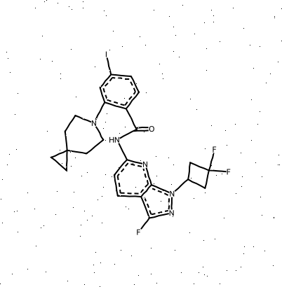 O=C(Nc1ccc2c(F)nn(C3CC(F)(F)C3)c2n1)c1ccc(I)cc1N1CCC2(CC1)CC2